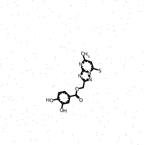 Cc1cc([S])n2nc(COC(=O)c3ccc(O)c(O)c3)nc2n1